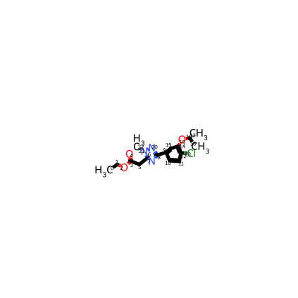 CCOC(=O)Cc1nc(-c2ccc(Cl)c(OC(C)C)c2)nn1C